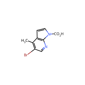 Cc1c(Br)cnc2c1ccn2C(=O)O